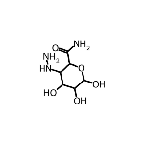 NNC1C(C(N)=O)OC(O)C(O)C1O